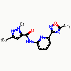 CCn1nc(C(C)(C)C)cc1C(=O)Nc1cccc(-c2noc(C(F)(F)F)n2)n1